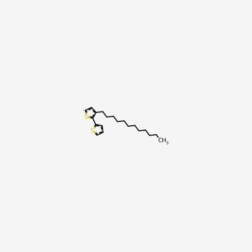 CCCCCCCCCCCCc1c[c]sc1-c1cccs1